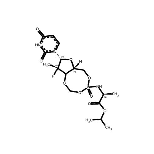 CC(C)OC(=O)[C@H](C)NP1(=O)OCOC2[C@@H](CO1)O[C@@H](n1ccc(=O)[nH]c1=O)[C@@]2(C)F